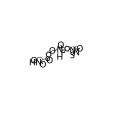 CN1C(=O)C(C)(C)N(c2ccc(C(=O)NCCOc3ccc4c(C5CCC(=O)NC5=O)coc4c3)c(F)c2)C1=S